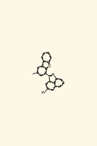 Cc1cc(C2=Nc3cccc4cc(C(C)C)cc2c34)c2oc3ccccc3c2c1